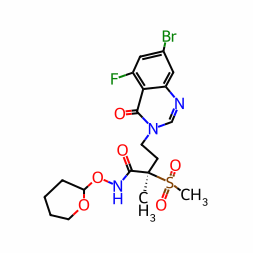 C[C@@](CCn1cnc2cc(Br)cc(F)c2c1=O)(C(=O)NOC1CCCCO1)S(C)(=O)=O